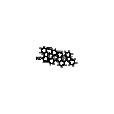 N#Cc1cccc(-c2ccccc2-n2c3ccccc3c3c(-n4c5ccccc5c5ccccc54)cccc32)c1-n1c2ccccc2c2c(C#N)cccc21